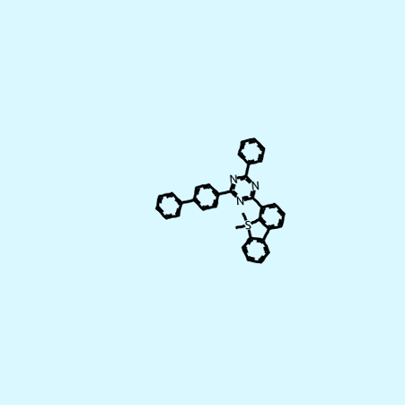 CS1(C)c2ccccc2-c2cccc(-c3nc(-c4ccccc4)nc(-c4ccc(-c5ccccc5)cc4)n3)c21